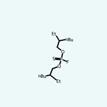 CCCCC(CC)COP(F)(=S)OCC(CC)CCCC